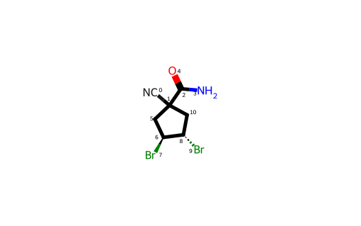 N#CC1(C(N)=O)C[C@H](Br)[C@@H](Br)C1